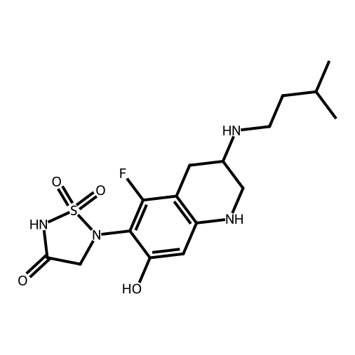 CC(C)CCNC1CNc2cc(O)c(N3CC(=O)NS3(=O)=O)c(F)c2C1